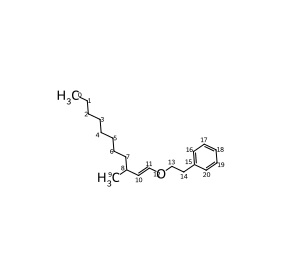 CCCCCCCCC(C)C=COCCc1ccccc1